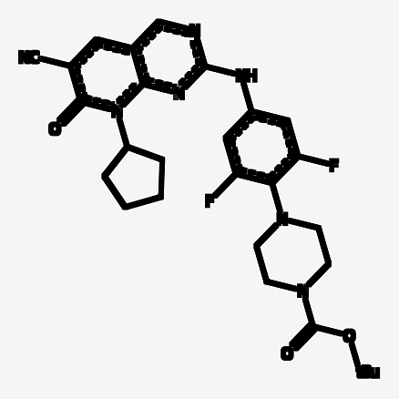 CC(C)(C)OC(=O)N1CCN(c2c(F)cc(Nc3ncc4cc(C#N)c(=O)n(C5CCCC5)c4n3)cc2F)CC1